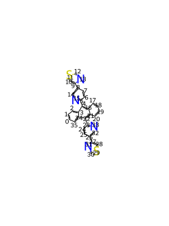 c1ccc2c(-c3ccc(-c4cscn4)cn3)c3ccccc3c(-c3ccc(-c4cscn4)cn3)c2c1